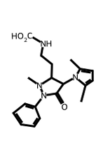 Cc1ccc(C)n1C1C(=O)N(c2ccccc2)N(C)C1CCNC(=O)O